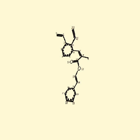 C=Cc1cccc(C=C(C)C(=O)OC=Cc2ccccc2)c1C=C